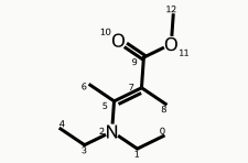 CCN(CC)C(C)=C(C)C(=O)OC